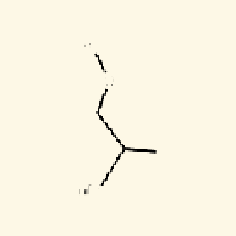 [CH2]C(=O)OCC(C)CCC